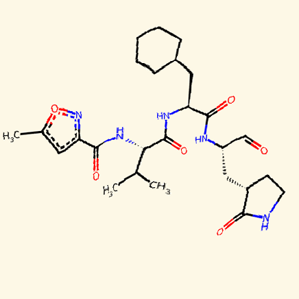 Cc1cc(C(=O)N[C@H](C(=O)N[C@@H](CC2CCCCC2)C(=O)N[C@H](C=O)C[C@@H]2CCNC2=O)C(C)C)no1